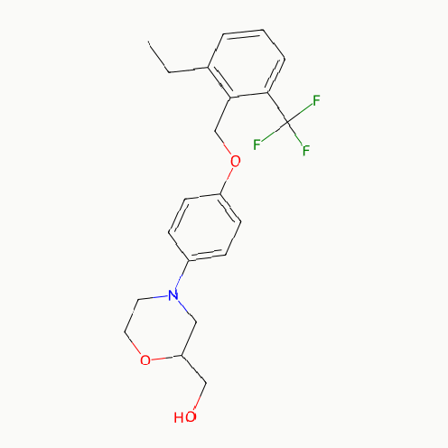 CCc1cccc(C(F)(F)F)c1COc1ccc(N2CCOC(CO)C2)cc1